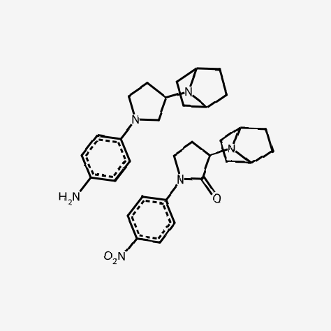 Nc1ccc(N2CCC(N3C4CCC3CC4)C2)cc1.O=C1C(N2C3CCC2CC3)CCN1c1ccc([N+](=O)[O-])cc1